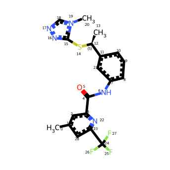 Cc1cc(C(=O)Nc2cccc([C@H](C)Sc3nncn3C)c2)nc(C(F)(F)F)c1